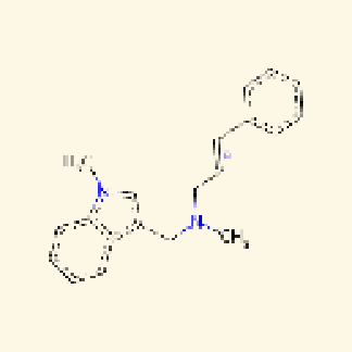 CN(C/C=C/c1ccccc1)Cc1cn(C)c2ccccc12